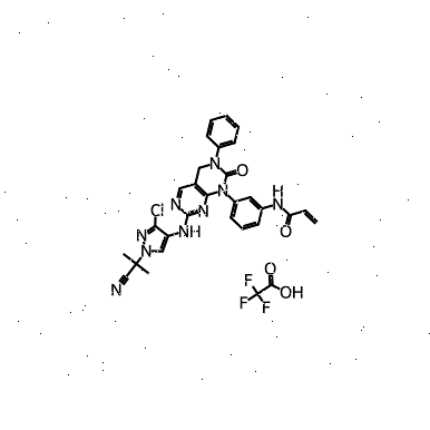 C=CC(=O)Nc1cccc(N2C(=O)N(c3ccccc3)Cc3cnc(Nc4cn(C(C)(C)C#N)nc4Cl)nc32)c1.O=C(O)C(F)(F)F